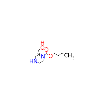 CCCCOC(=O)N1CCNC[C@H]1CO